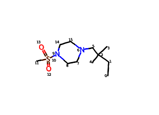 CCC(C)(C)CN1CCN(S(C)(=O)=O)CC1